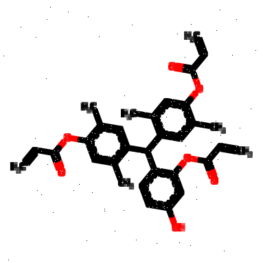 C=CC(=O)Oc1cc(C)c(C(c2cc(C)c(OC(=O)C=C)cc2C)c2ccc(O)cc2OC(=O)C=C)cc1C